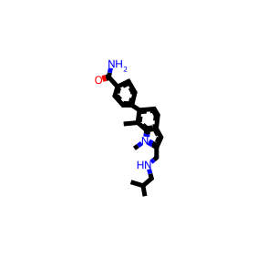 Cc1c(-c2ccc(C(N)=O)cc2)ccc2cc(CNCC(C)C)n(C)c12